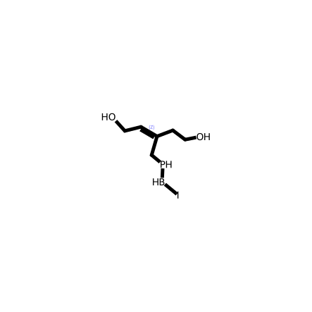 OC/C=C(/CCO)CPBI